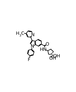 Cc1ccnc(-c2cn(-c3ccc(F)cc3)c3cc(C(=O)NC4CCS(O)(O)C4)ccc23)c1